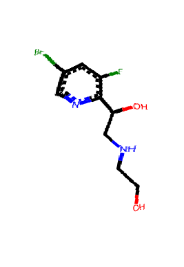 OCCNCC(O)c1ncc(Br)cc1F